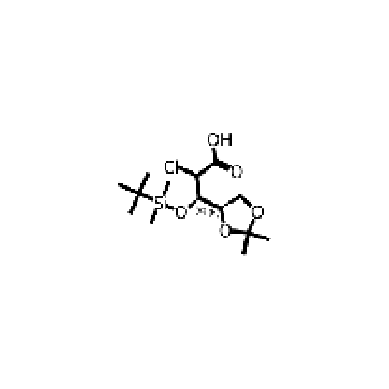 CC1(C)OC[C@H]([C@@H](O[Si](C)(C)C(C)(C)C)C(Cl)C(=O)O)O1